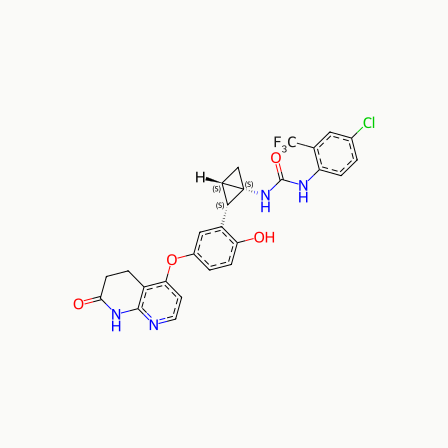 O=C1CCc2c(Oc3ccc(O)c([C@@H]4[C@@H]5C[C@@]45NC(=O)Nc4ccc(Cl)cc4C(F)(F)F)c3)ccnc2N1